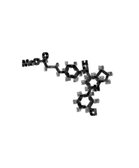 COC(=O)CCCc1ccc(Nc2cc(-c3cccc(Cl)c3)nc3c2CCC3)cc1